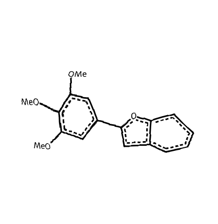 COc1cc(-c2cc3ccccc3o2)cc(OC)c1OC